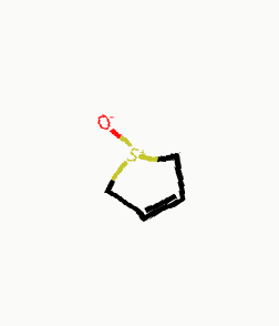 [O-][S+]1CC=CC1